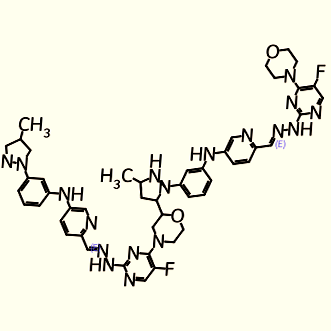 CC1CNN(c2cccc(Nc3ccc(/C=N/Nc4ncc(F)c(N5CCOC(C6CC(C)NN6c6cccc(Nc7ccc(/C=N/Nc8ncc(F)c(N9CCOCC9)n8)nc7)c6)C5)n4)nc3)c2)C1